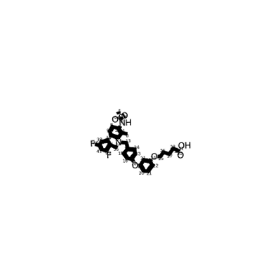 Cc1c(NS(C)(=O)=O)cccc1N(Cc1ccc(Oc2cccc(OCCCCC(=O)O)c2)cc1)Cc1ccc(F)cc1F